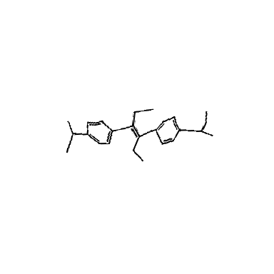 CC/C(=C(/CC)c1ccc(C(C)C)cc1)c1ccc(C(C)C)cc1